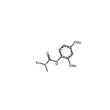 CCN(C)C(=O)Nc1ccc(OC)cc1OC